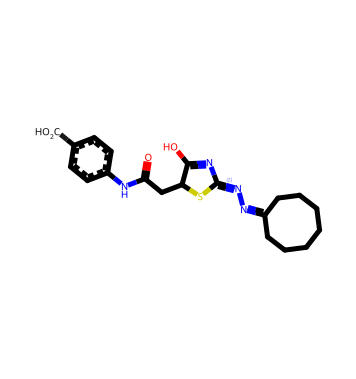 O=C(CC1S/C(=N\N=C2CCCCCCC2)N=C1O)Nc1ccc(C(=O)O)cc1